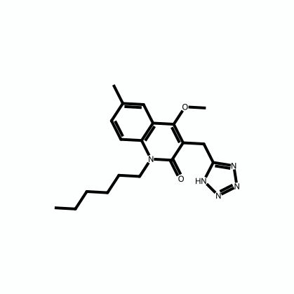 CCCCCCn1c(=O)c(Cc2nnn[nH]2)c(OC)c2cc(C)ccc21